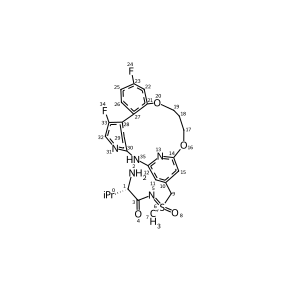 CC(C)[C@H](N)C(=O)N=[S@](C)(=O)Cc1cc2nc(c1)OCCCOc1cc(F)ccc1-c1cc(ncc1F)N2